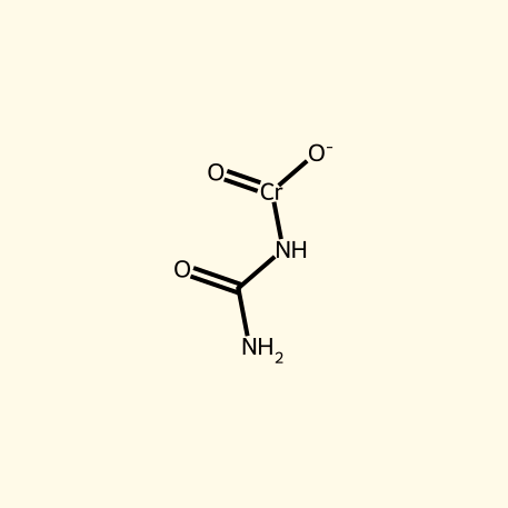 NC(=O)[NH][Cr](=[O])[O-]